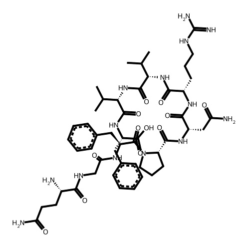 CC(C)[C@H](NC(=O)[C@H](CCCNC(=N)N)NC(=O)[C@H](CC(N)=O)NC(=O)[C@@H]1CCCN1C(=O)[C@H](Cc1ccccc1)NC(=O)CNC(=O)[C@@H](N)CCC(N)=O)C(=O)N[C@H](C(=O)N[C@@H](Cc1ccccc1)C(=O)O)C(C)C